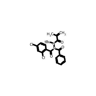 C=C(C)C(=O)N(N(C(=O)c1ccccc1)C(=O)c1ccc(Cl)cc1Cl)C(C)(C)C